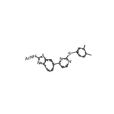 CC(=O)Nc1nc2ccc(-c3ccnc(Sc4ccc(C)c(C)c4)n3)cc2s1